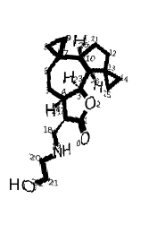 O=C1O[C@H]2[C@@H](CCC3(CC3)[C@@H]3CCC4(CC4)[C@H]23)[C@@H]1CNCCO